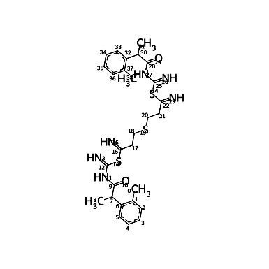 Cc1ccccc1C(C)C(=O)NC(=N)SC(=N)CCSCCC(=N)SC(=N)NC(=O)C(C)c1ccccc1C